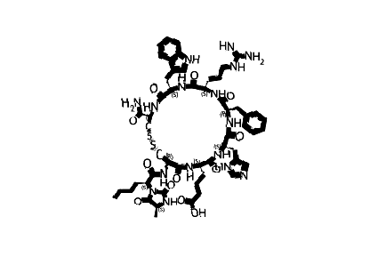 CCCC[C@@H](C(=O)N[C@H]1CSSC[C@@H](C(N)=O)NC(=O)[C@H](Cc2c[nH]c3ccccc23)NC(=O)[C@H](CCCNC(=N)N)NC(=O)[C@@H](Cc2ccccc2)NC(=O)[C@H](Cc2cnc[nH]2)NC(=O)[C@H](CCCC(=O)O)NC1=O)N1C(=O)N[C@@H](C)C1=O